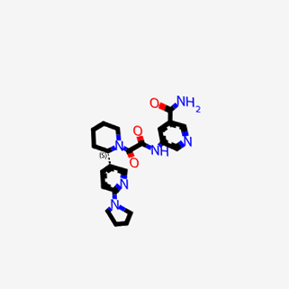 NC(=O)c1cncc(NC(=O)C(=O)N2CCCC[C@H]2c2ccc(N3CCCC3)nc2)c1